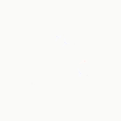 CCn1cncc1-c1cc(-c2ccc(C(F)(F)F)cc2)cc(C(O)NC(C)(C)C)c1